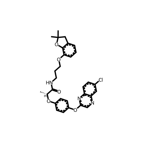 C[C@@H](Oc1ccc(Oc2cnc3cc(Cl)ccc3n2)cc1)C(=O)NCCCOc1cccc2c1OC(C)(C)C2